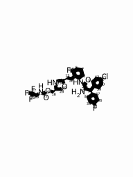 N[C@H](C(=O)Nc1cccc(F)c1CC[C@@H]1CN[C@H](COC(=O)NCC(F)(F)F)CO1)[C@H](c1ccc(F)cc1)c1ccc(Cl)cc1